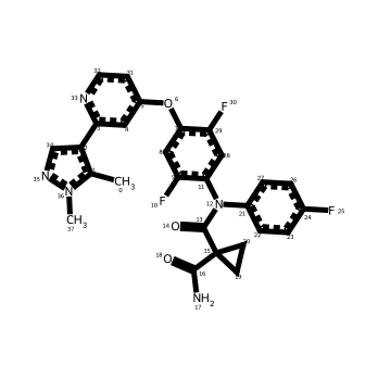 Cc1c(-c2cc(Oc3cc(F)c(N(C(=O)C4(C(N)=O)CC4)c4ccc(F)cc4)cc3F)ccn2)cnn1C